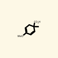 COC1=CCC(C)(C(=O)O)C=C1